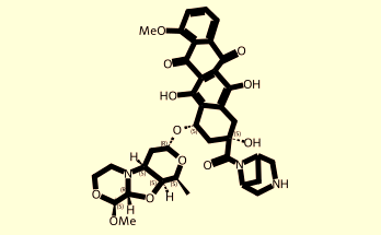 COc1cccc2c1C(=O)c1c(O)c3c(c(O)c1C2=O)C[C@@](O)(C(=O)N1C2CNCC1C2)C[C@@H]3O[C@H]1C[C@H]2[C@H](O[C@@H]3[C@@H](OC)OCCN32)[C@H](C)O1